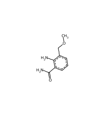 COCc1cccc(C(N)=O)c1N